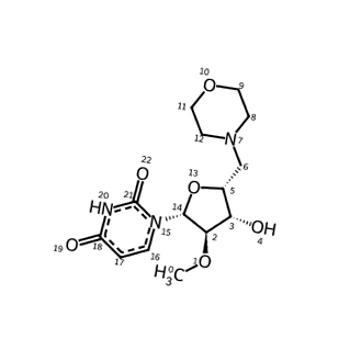 CO[C@@H]1[C@@H](O)[C@@H](CN2CCOCC2)O[C@H]1n1ccc(=O)[nH]c1=O